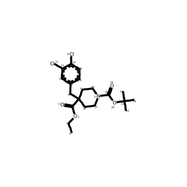 CCOC(=O)C1(Cc2ccc(Cl)c(Cl)c2)CCN(C(=O)OC(C)(C)C)CC1